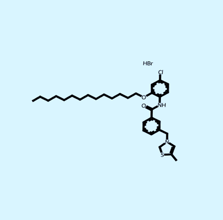 Br.CCCCCCCCCCCCCCOc1cc(Cl)ccc1NC(=O)c1cccc(CN2C=C(C)SC2)c1